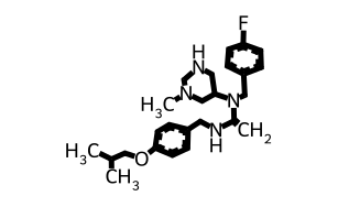 C=C(NCc1ccc(OCC(C)C)cc1)N(Cc1ccc(F)cc1)C1CNCN(C)C1